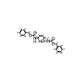 O=C(NC[C@H]1C=C[C@@H](NC(=O)OCc2ccccc2)CO1)OCc1ccccc1